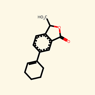 O=C1OC(C(=O)O)c2ccc(C3=CCCCC3)cc21